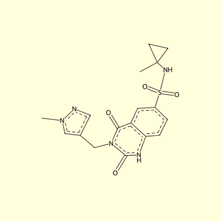 Cn1cc(Cn2c(=O)[nH]c3ccc(S(=O)(=O)NC4(C)CC4)cc3c2=O)cn1